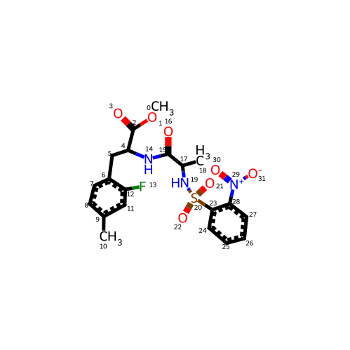 COC(=O)C(Cc1ccc(C)cc1F)NC(=O)C(C)NS(=O)(=O)c1ccccc1[N+](=O)[O-]